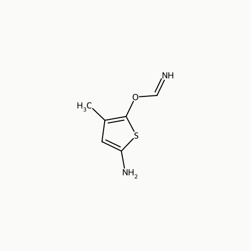 Cc1cc(N)sc1OC=N